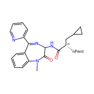 CCCCC[C@@H](CC1CC1)C(=O)NC1N=C(c2ccccn2)c2ccccc2N(C)C1=O